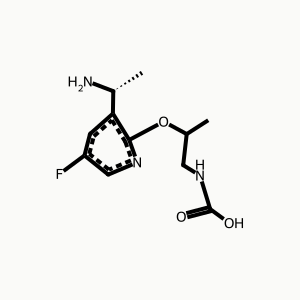 CC(CNC(=O)O)Oc1ncc(F)cc1[C@@H](C)N